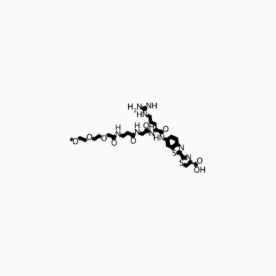 COCCOCCOCC(=O)NCCC(=O)NCC(=O)N[C@@H](CCCNC(=N)N)C(=O)Nc1ccc2nc(C3=N[C@@H](C(=O)O)CS3)sc2c1